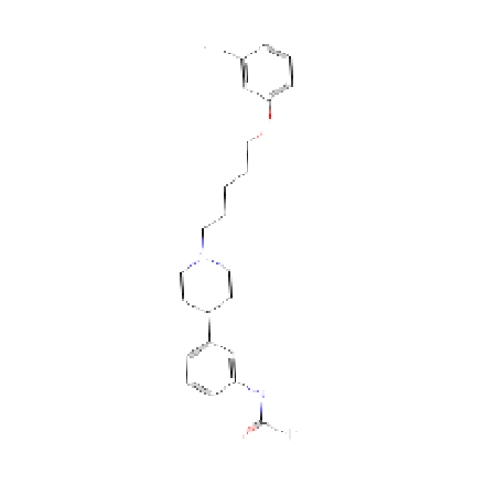 CC(=O)c1cccc(OCCCCCN2CCC(c3cccc(NC(=O)C(C)C)c3)CC2)c1